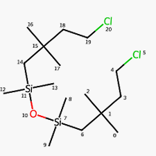 CC(C)(CCCl)C[Si](C)(C)O[Si](C)(C)CC(C)(C)CCCl